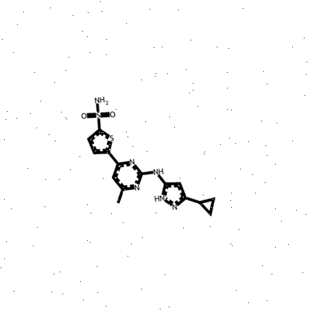 Cc1cc(-c2ccc(S(N)(=O)=O)s2)nc(Nc2cc(C3CC3)n[nH]2)n1